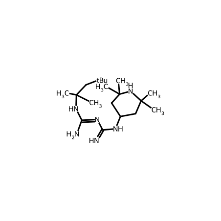 CC(C)(C)CC(C)(C)N/C(N)=N/C(=N)NC1CC(C)(C)NC(C)(C)C1